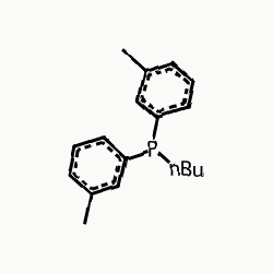 CCCCP(c1cccc(C)c1)c1cccc(C)c1